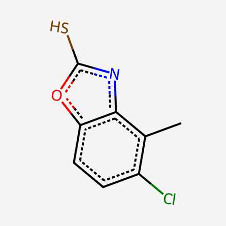 Cc1c(Cl)ccc2oc(S)nc12